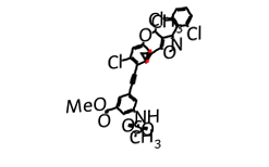 COC(=O)c1cc(C#Cc2ccc(OC(C)c3c(-c4c(Cl)cccc4Cl)noc3C3CC3)cc2Cl)cc(NS(C)(=O)=O)c1